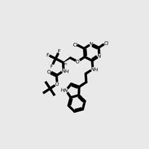 CC(C)(C)OC(=O)N[C@H](COc1c(Cl)nc(Cl)nc1NCCc1c[nH]c2ccccc12)C(F)(F)F